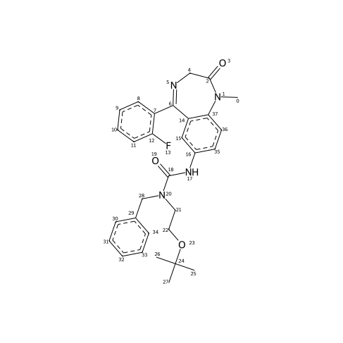 CN1C(=O)CN=C(c2ccccc2F)c2cc(NC(=O)N(CCOC(C)(C)C)Cc3ccccc3)ccc21